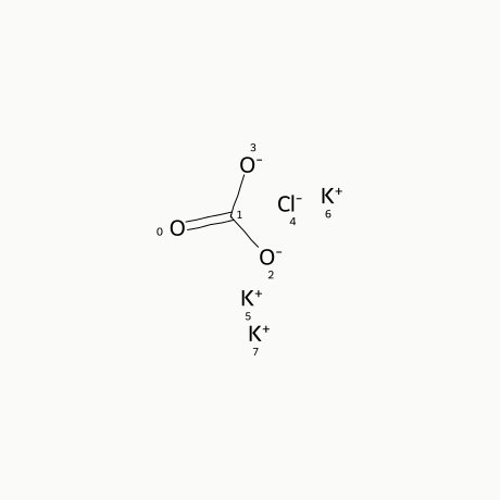 O=C([O-])[O-].[Cl-].[K+].[K+].[K+]